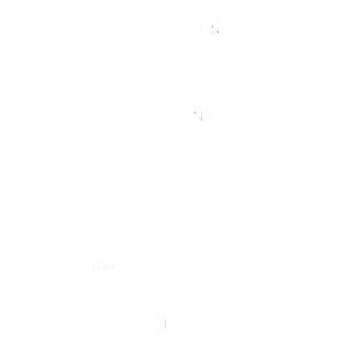 C1CCNC1.N#CCCOP(O)O